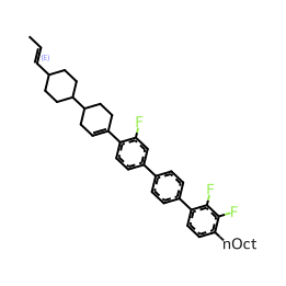 C/C=C/C1CCC(C2CC=C(c3ccc(-c4ccc(-c5ccc(CCCCCCCC)c(F)c5F)cc4)cc3F)CC2)CC1